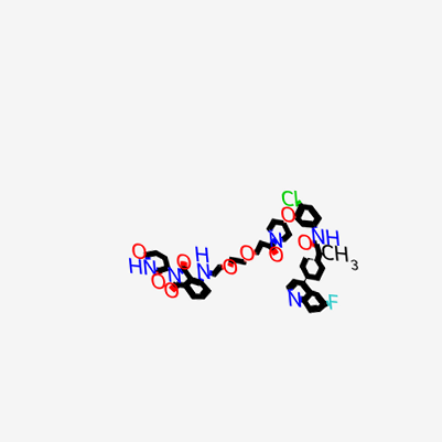 C[C@@H](C(=O)Nc1ccc(Cl)c(OC2CCN(C(=O)CCOCCOCCNc3cccc4c3C(=O)N(C3CCC(=O)NC3=O)C4=O)CC2)c1)[C@H]1CC[C@@H](c2ccnc3ccc(F)cc32)CC1